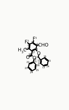 Cc1c(F)c(F)c(C=O)c(OCc2ccccc2)c1C(=O)Oc1ccccc1